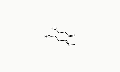 C=CCCO.CC=CCCO